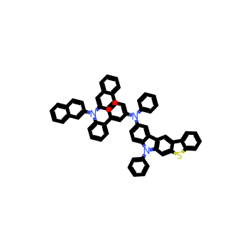 c1ccc(N(c2cccc(-c3ccccc3N(c3ccc4ccccc4c3)c3ccc4ccccc4c3)c2)c2ccc3c(c2)c2cc4c(cc2n3-c2ccccc2)sc2ccccc24)cc1